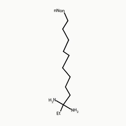 CCCCCCCCCCCCCCCCCCC(N)(N)CC